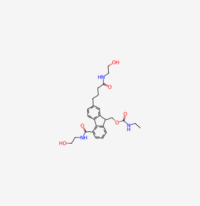 CCNC(=O)OCC1c2cc(CCCC(=O)NCCO)ccc2-c2c(C(=O)NCCO)cccc21